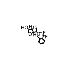 O[C@@H]1CO[C@H]2[C@@H]1OC[C@@H]2OCc1ccccc1C(F)(F)F